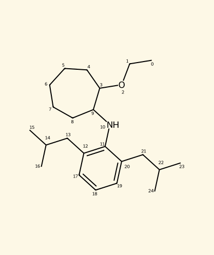 CCOC1CCCCCC1Nc1c(CC(C)C)cccc1CC(C)C